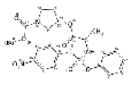 CC(NP(=O)(Oc1ccccc1)Oc1ccc([N+](=O)[O-])cc1)C(=O)O[C@H]1CCN(C(=O)OC(C)(C)C)C1